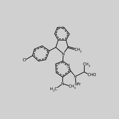 C=C1c2ccccc2C(c2ccc(Cl)cc2)N1c1ccc(N(C)C)c(N(CCC)C(C)C=O)n1